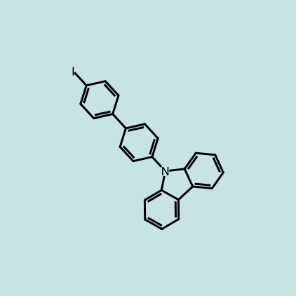 Ic1ccc(-c2ccc(-n3c4ccccc4c4ccccc43)cc2)cc1